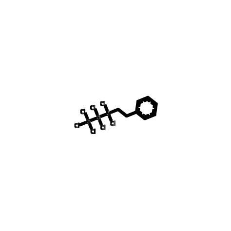 Cl[Si](Cl)(Cl)[Si](Cl)(Cl)[Si](Cl)(Cl)CCc1ccccc1